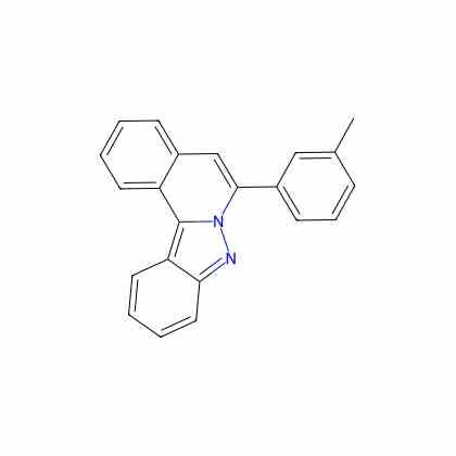 Cc1cccc(-c2cc3ccccc3c3c4ccccc4nn23)c1